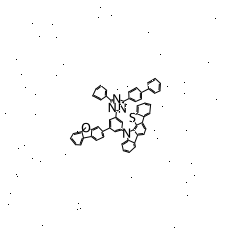 c1ccc(-c2ccc(-c3nc(-c4ccccc4)nc(-c4cc(-c5ccc6c(c5)oc5ccccc56)cc(-n5c6ccccc6c6ccc7c8ccccc8sc7c65)c4)n3)cc2)cc1